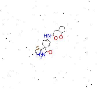 NC(=O)C1(c2nccs2)C=CC(NC(=O)CC2CCCC2=O)=CC1